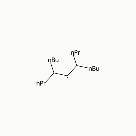 CCCCC([CH]C(CCC)CCCC)CCC